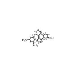 Cc1cc(C)c(-c2cnc3c4cc(O)ccc4c4ncccc4n23)c(C)c1